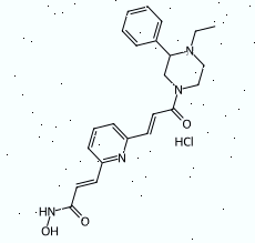 CCN1CCN(C(=O)/C=C/c2cccc(/C=C/C(=O)NO)n2)CC1c1ccccc1.Cl